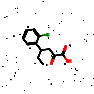 CCC(CC(=O)C(=O)O)c1ccccc1Cl